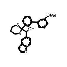 COc1cccc(-c2cccc(C3(C(O)c4ccc5occc5c4)SCCCS3)c2)c1